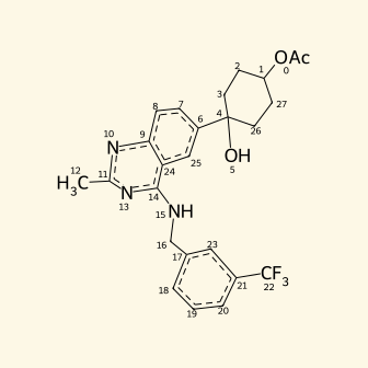 CC(=O)OC1CCC(O)(c2ccc3nc(C)nc(NCc4cccc(C(F)(F)F)c4)c3c2)CC1